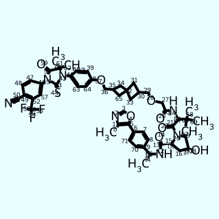 Cc1ncoc1-c1ccc([C@H](C)NC(=O)[C@@H]2C[C@@H](O)CN2C(=O)[C@@H](NC(=O)COCC2CC3(C2)CC(COc2ccc(N4C(=S)N(c5ccc(C#N)c(C(F)(F)F)c5)C(=O)C4(C)C)cc2)C3)C(C)(C)C)cc1